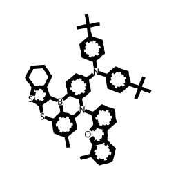 Cc1cc2c3c(c1)N(c1cccc4c1oc1c(C)cccc14)c1cc(N(c4ccc(C(C)(C)C)cc4)c4ccc(C(C)(C)C)cc4)ccc1B3c1c(sc3c1CCCC3)S2